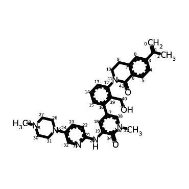 C=C(C)c1ccc2c(c1)CCN(c1cccc(-c3cc(Nc4ccc(N5CCN(C)CC5)cn4)c(=O)n(C)c3)c1CO)C2=O